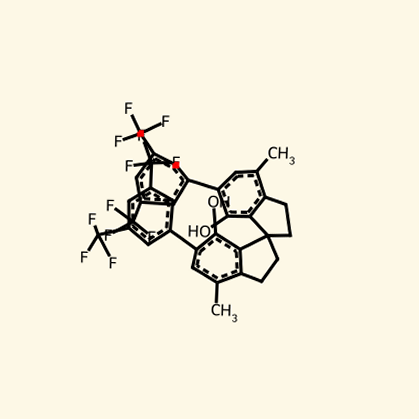 Cc1cc(-c2cc(C(F)(F)F)cc(C(F)(F)F)c2)c(O)c2c1CCC21CCc2c(C)cc(-c3cc(C(F)(F)F)cc(C(F)(F)F)c3)c(O)c21